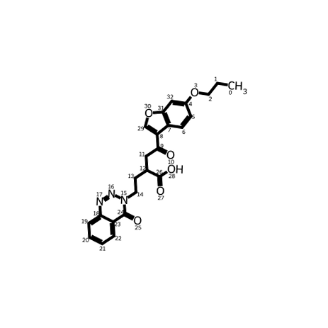 CCCOc1ccc2c(C(=O)CC(CCn3nnc4ccccc4c3=O)C(=O)O)coc2c1